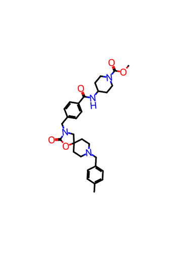 COC(=O)N1CCC(NC(=O)c2ccc(CN3CC4(CCN(Cc5ccc(C)cc5)CC4)OC3=O)cc2)CC1